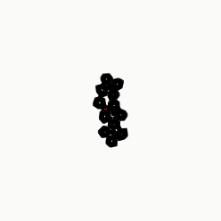 c1ccc(C2(c3ccccc3)c3ccccc3-c3ccc(-c4cccc(N(c5cccc(-c6ccc7c(c6)C(c6ccccc6)(c6ccccc6)c6ccccc6-7)c5)c5cccc6c5oc5ccccc56)c4)cc32)cc1